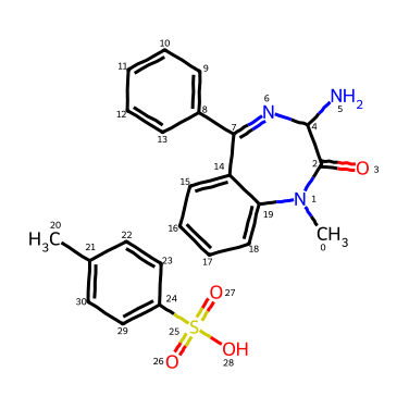 CN1C(=O)C(N)N=C(c2ccccc2)c2ccccc21.Cc1ccc(S(=O)(=O)O)cc1